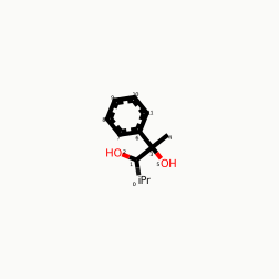 CC(C)C(O)C(C)(O)c1ccccc1